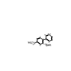 O=S(=O)(O)c1ccc(-c2cccnc2)cc1.[NaH]